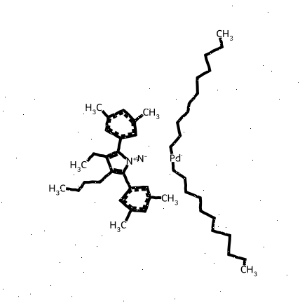 CCCCC1=C(c2cc(C)cc(C)c2)[N+](=[N-])C(c2cc(C)cc(C)c2)=C1CC.CCCCCCCCCC[CH2][Pd][CH2]CCCCCCCCCC